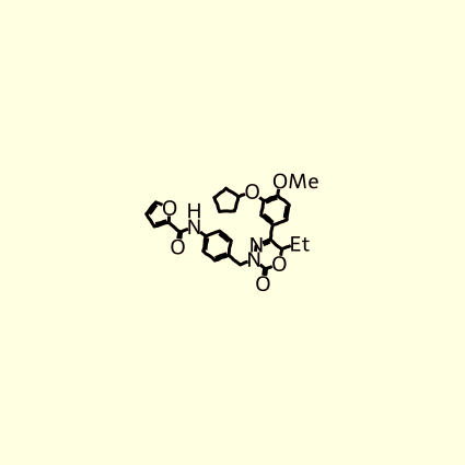 CCC1OC(=O)N(Cc2ccc(NC(=O)c3ccco3)cc2)N=C1c1ccc(OC)c(OC2CCCC2)c1